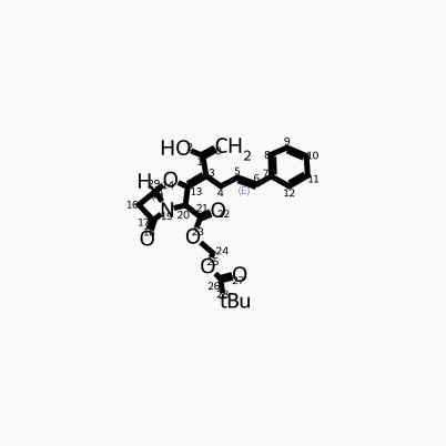 C=C(O)C(C/C=C/c1ccccc1)=C1O[C@@H]2CC(=O)N2C1C(=O)OCOC(=O)C(C)(C)C